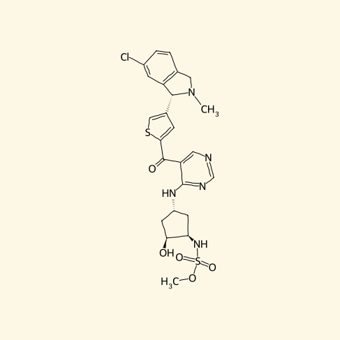 COS(=O)(=O)N[C@@H]1C[C@@H](Nc2ncncc2C(=O)c2cc([C@@H]3c4cc(Cl)ccc4CN3C)cs2)C[C@@H]1O